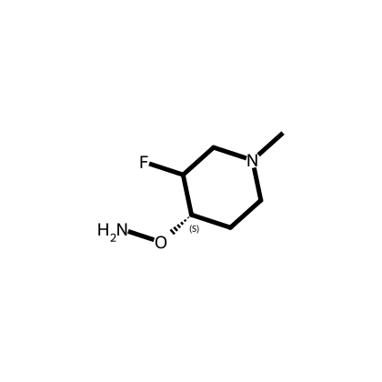 CN1CC[C@H](ON)C(F)C1